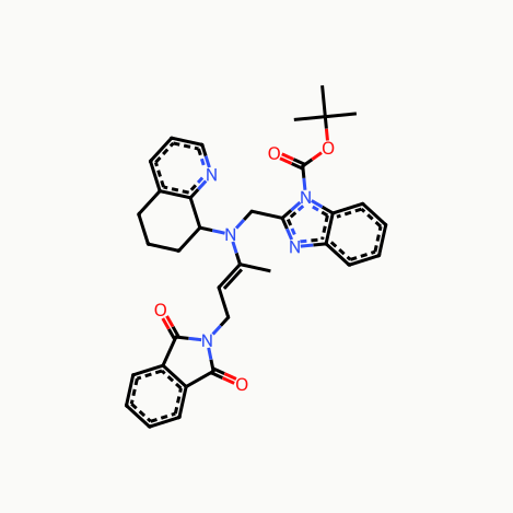 CC(=CCN1C(=O)c2ccccc2C1=O)N(Cc1nc2ccccc2n1C(=O)OC(C)(C)C)C1CCCc2cccnc21